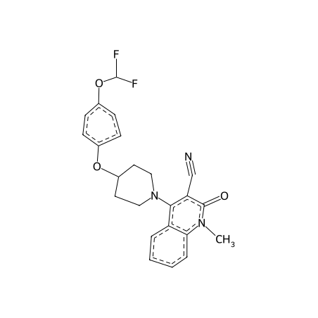 Cn1c(=O)c(C#N)c(N2CCC(Oc3ccc(OC(F)F)cc3)CC2)c2ccccc21